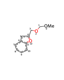 COCOCc1cc2ccccc2o1